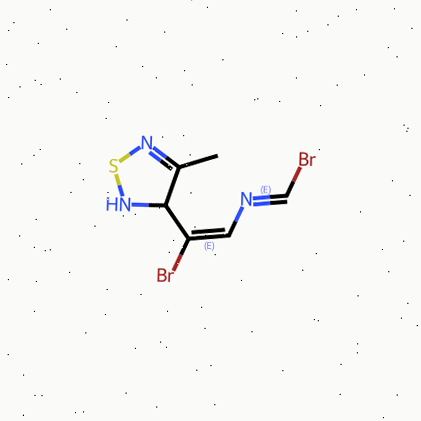 CC1=NSNC1/C(Br)=C\N=C\Br